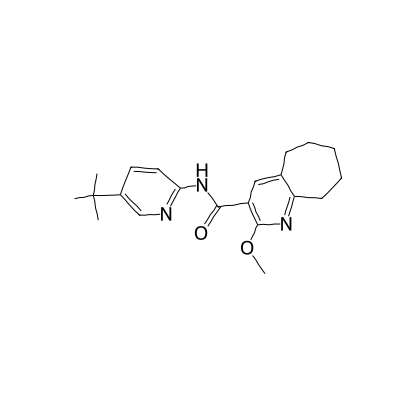 COc1nc2c(cc1C(=O)Nc1ccc(C(C)(C)C)cn1)CCCCC2